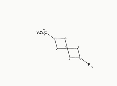 O=C(O)C1CC2(CC(F)C2)C1